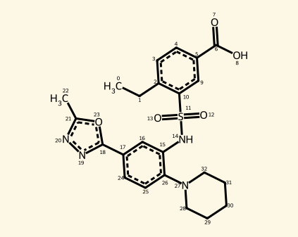 CCc1ccc(C(=O)O)cc1S(=O)(=O)Nc1cc(-c2nnc(C)o2)ccc1N1CCCCC1